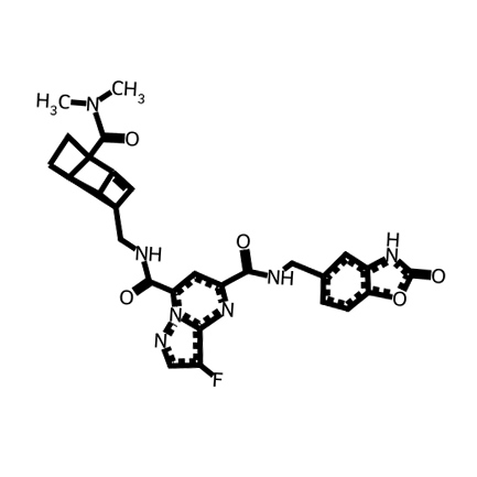 CN(C)C(=O)C12CC3C1C1C2=CC31CNC(=O)c1cc(C(=O)NCc2ccc3oc(=O)[nH]c3c2)nc2c(F)cnn12